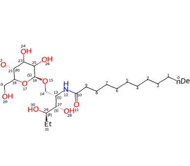 CCCCCCCCCCCCCCCCCCCC(=O)N[C@@H](CO[C@H]1OC(CO)[C@H](O)C(O)C1O)[C@H](O)[C@H](O)CC